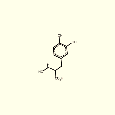 O=C(O)C(Cc1ccc(O)c(O)c1)NO